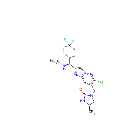 O=C(O)N[C@H](c1cn2nc(Cl)c(CN3C[C@@H](C(F)(F)F)NC3=O)cc2n1)C1CCC(F)(F)CC1